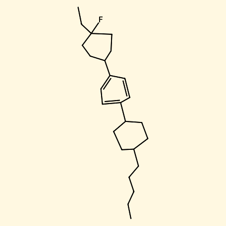 CCCCCC1CCC(c2ccc(C3CCC(F)(CC)CC3)cc2)CC1